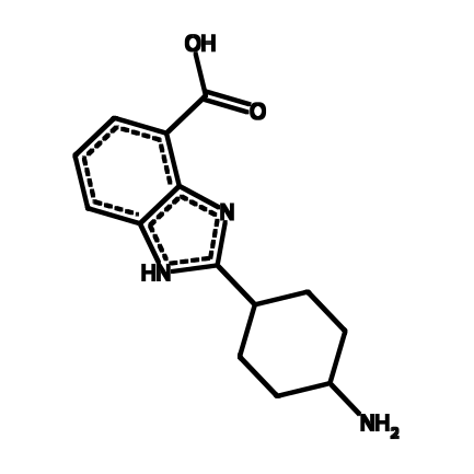 NC1CCC(c2nc3c(C(=O)O)cccc3[nH]2)CC1